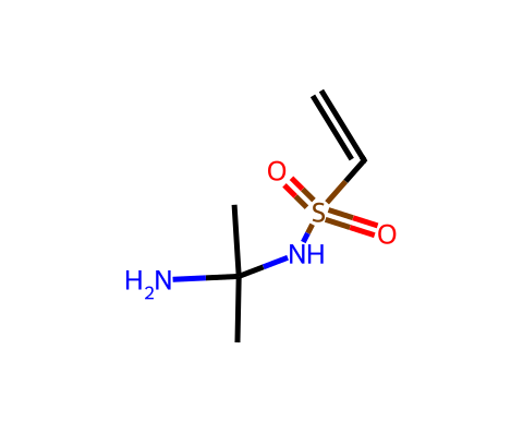 C=CS(=O)(=O)NC(C)(C)N